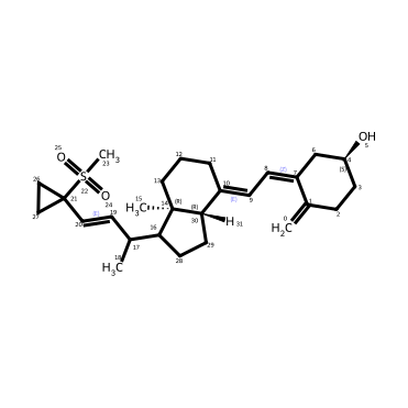 C=C1CC[C@H](O)C/C1=C/C=C1\CCC[C@]2(C)C(C(C)/C=C/C3(S(C)(=O)=O)CC3)CC[C@@H]12